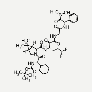 CN(C)C(=O)[C@@H](NC(=O)CNC(=O)C(=O)[C@H](CCC(F)F)NC(=O)[C@@H]1[C@@H]2[C@H](CN1C(=O)[C@@H](NC(=O)OC(C)(C)C)C1CCCCC1)C2(C)C)c1ccccc1